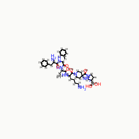 CC(C)C[C@@H](NC(=O)[C@@H](Cc1ccccc1)NC(=O)[C@H](N)Cc1ccccc1)C(=O)N[C@H](CCCCN)C(=O)N1CCC(N)(C(=O)N2CCC(B(O)O)C2)CC1